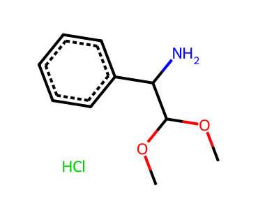 COC(OC)C(N)c1ccccc1.Cl